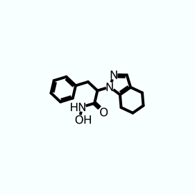 O=C(NO)C(Cc1ccccc1)n1ncc2c1CCCC2